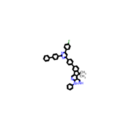 CC1(C)c2ccc(-c3ccc(-c4cc(-c5ccc(F)cc5)nc(-c5ccc(-c6ccccc6)cc5)n4)cc3)cc2-c2cnc(Nc3ccccc3)c(C=N)c21